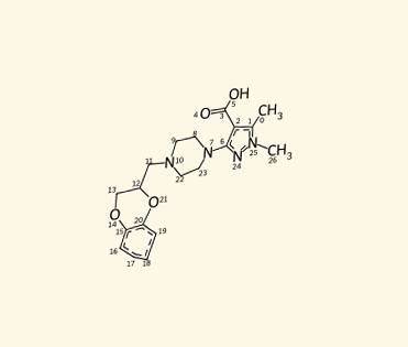 Cc1c(C(=O)O)c(N2CCN(CC3COc4ccccc4O3)CC2)nn1C